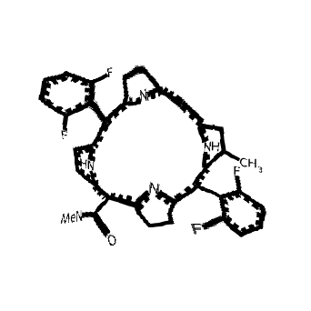 CNC(=O)c1c2nc(c(-c3c(F)cccc3F)c3[nH]c(cc4nc(c(-c5c(F)cccc5F)c5ccc1[nH]5)CC4)CC3C)CC2